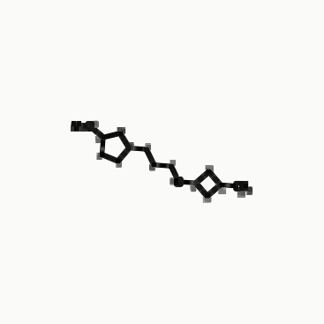 COC1CCC(CCCOC2CC(C)C2)C1